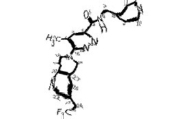 Cc1cc(C(=O)NCc2ccncc2)nnc1N1CCc2ncc(CC(F)(F)F)cc2C1